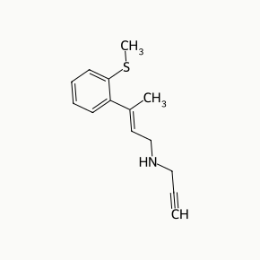 C#CCNC/C=C(\C)c1ccccc1SC